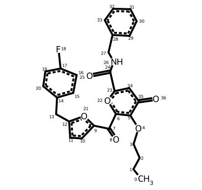 CCCCOc1c(C(=O)c2ccc(Cc3ccc(F)cc3)o2)oc(C(=O)NCc2ccccc2)cc1=O